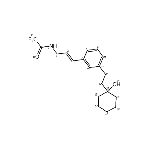 O=C(NCC=Cc1cccc(CCC2(O)CCCCC2)c1)C(F)(F)F